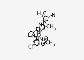 Cc1cn2nc([C@@H]3CCCCN3C(=O)c3cc(Cl)ccc3NS(C)(=O)=O)cc2nc1N1C[C@@H](C)[C@H](C#N)C1